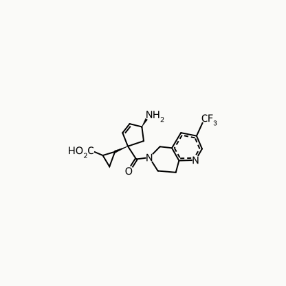 N[C@@H]1C=C[C@](C(=O)N2CCc3ncc(C(F)(F)F)cc3C2)(C2CC2C(=O)O)C1